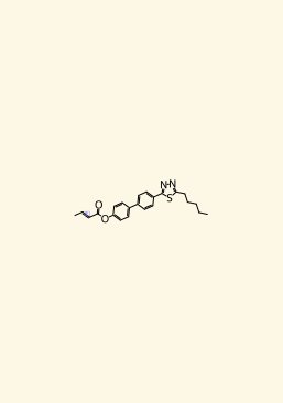 C/C=C/C(=O)Oc1ccc(-c2ccc(-c3nnc(CCCCC)s3)cc2)cc1